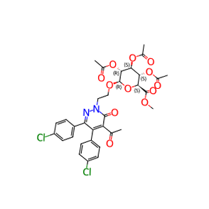 COC(=O)[C@H]1O[C@@H](OCCn2nc(-c3ccc(Cl)cc3)c(-c3ccc(Cl)cc3)c(C(C)=O)c2=O)[C@H](OC(C)=O)[C@@H](OC(C)=O)[C@@H]1OC(C)=O